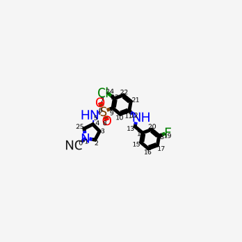 N#CN1CC[C@@H](NS(=O)(=O)c2cc(NCc3cccc(F)c3)ccc2Cl)C1